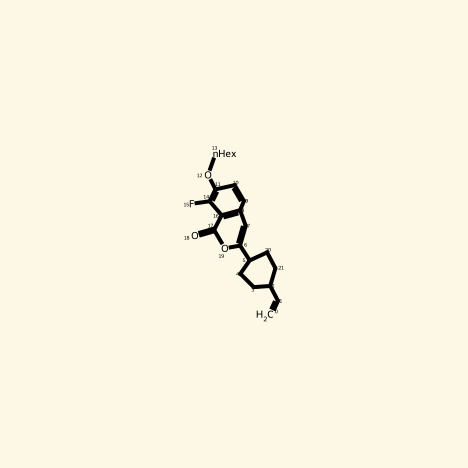 C=CC1CCC(c2cc3ccc(OCCCCCC)c(F)c3c(=O)o2)CC1